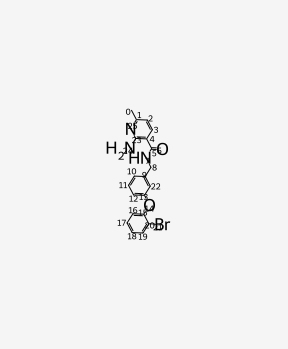 Cc1ccc(C(=O)NCc2cccc(Oc3ccccc3Br)c2)c(N)n1